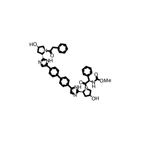 COC(=O)N[C@@H](C(=O)N1C[C@@H](O)C[C@H]1c1ncc(-c2ccc(-c3ccc(-c4cnc([C@@H]5C[C@H](O)CN5C(=O)Cc5ccccc5)[nH]4)cc3)cc2)[nH]1)c1ccccc1